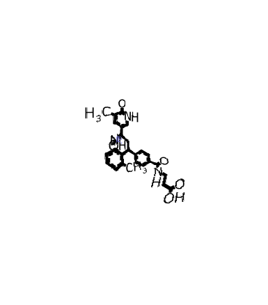 Cc1ccccc1C(C/C(=N\O)c1c[nH]c(=O)c(C)c1)c1ccc(C(=O)NCCC(=O)O)cc1